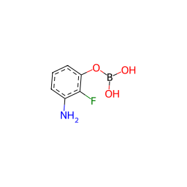 Nc1cccc(OB(O)O)c1F